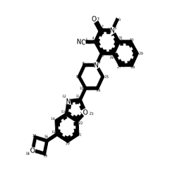 Cn1c(=O)c(C#N)c(N2CCC(c3nc4cc(C5COC5)ccc4o3)CC2)c2ccccc21